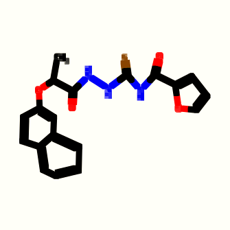 CC(Oc1ccc2ccccc2c1)C(=O)NNC(=S)NC(=O)c1ccco1